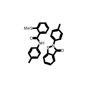 CSc1ccccc1C(=O)Nc1ccc(C)cc1.Cc1ccc(-n2sc3ccccc3c2=O)cc1